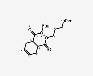 CCCCCCCCCCCCCOC(=O)C1CC=CCC1C(=O)OCCCC